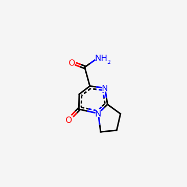 NC(=O)c1cc(=O)n2c(n1)CCC2